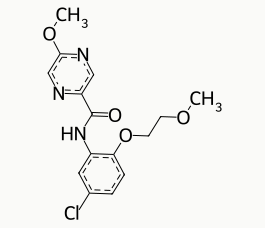 COCCOc1ccc(Cl)cc1NC(=O)c1cnc(OC)cn1